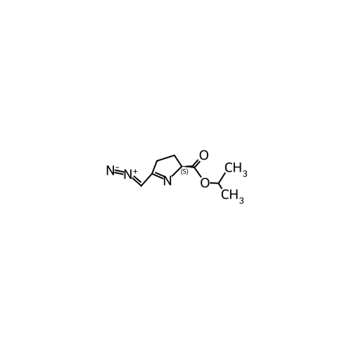 CC(C)OC(=O)[C@@H]1CCC(C=[N+]=[N-])=N1